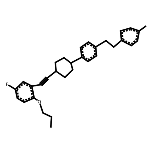 CCCOc1ccc(F)cc1C#CC1CCC(c2ccc(CCc3ccc(C)cc3)cc2)CC1